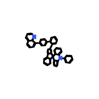 c1ccc(N2c3ccccc3C3(c4ccccc4-c4ccc(-c5ccccc5-c5ccc(-c6cccc7cccnc67)cc5)cc43)c3ccccc32)cc1